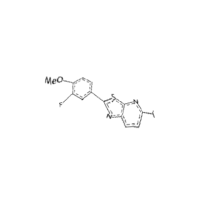 COc1ccc(-c2nc3ccc(I)nc3s2)cc1F